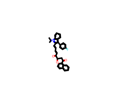 CC(C)n1c(C=CC=CC(=O)C2CC(=O)c3c(ccc4ccccc34)O2)c(-c2ccc(F)cc2)c2ccccc21